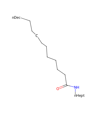 CCCCCCCCCCCCCCCCCCCC(=O)NCCCCCCC